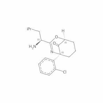 CC(C)C[C@H](N)C1=N[C@]2(c3ccccc3Cl)CCC[C@H](O1)C2=O